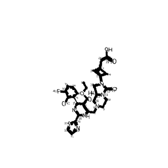 CCOC(=O)C1=C(CN2CCN3C(=O)N(C45CC(CC(=O)O)(C4)C5)C[C@@H]3C2)NC(c2nccs2)=N[C@H]1c1cccc(F)c1Cl